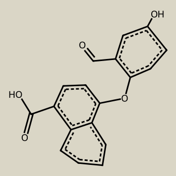 O=Cc1cc(O)ccc1Oc1ccc(C(=O)O)c2ccccc12